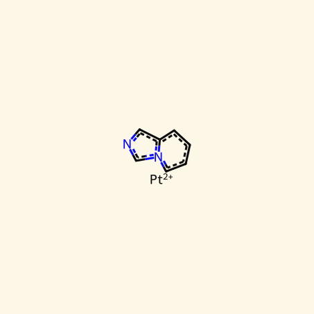 [Pt+2].c1ccn2cncc2c1